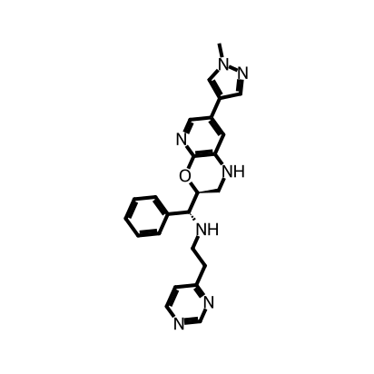 Cn1cc(-c2cnc3c(c2)NC[C@@H]([C@H](NCCc2ccncn2)c2ccccc2)O3)cn1